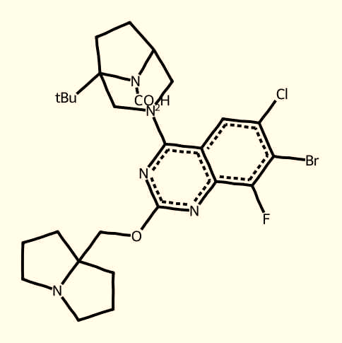 CC(C)(C)C12CCC(CN(c3nc(OCC45CCCN4CCC5)nc4c(F)c(Br)c(Cl)cc34)C1)N2C(=O)O